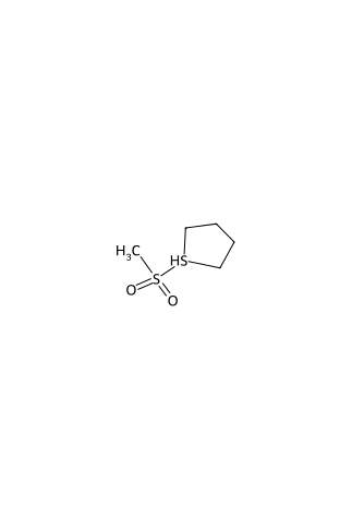 CS(=O)(=O)[SH]1CCCC1